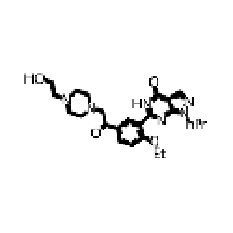 CCCn1ncc2c(=O)[nH]c(-c3cc(C(=O)CN4CCN(CCO)CC4)ccc3OCC)nc21